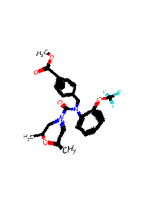 COC(=O)c1ccc(CN(C(=O)N2CC(C)OC(C)C2)c2ccccc2OC(F)(F)F)cc1